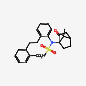 CC1(C)C2CCC1(N(c1ccccc1CCc1ccccc1C(=O)O)S(C)(=O)=O)C(=O)C2